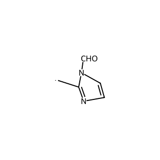 [CH2]c1nccn1C=O